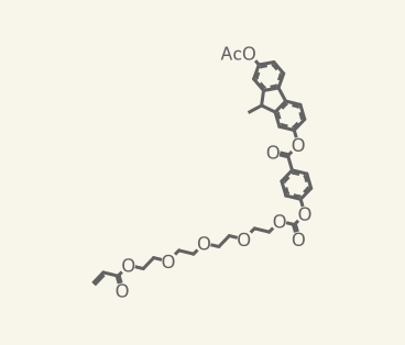 C=CC(=O)OCCOCCOCCOCCOC(=O)Oc1ccc(C(=O)Oc2ccc3c(c2)C(C)c2cc(OC(C)=O)ccc2-3)cc1